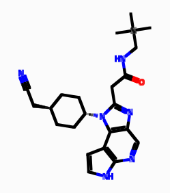 C[Si](C)(C)CNC(=O)Cc1nc2cnc3[nH]ccc3c2n1[C@H]1CC[C@H](CC#N)CC1